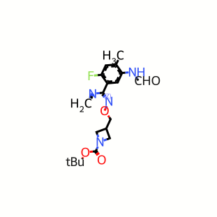 C=N/C(=N\OCC1CN(C(=O)OC(C)(C)C)C1)c1cc(NC=O)c(C)cc1F